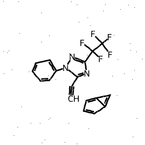 C#Cc1nc(C(F)(F)C(F)(F)F)nn1-c1ccccc1.c1cc2cc-2c1